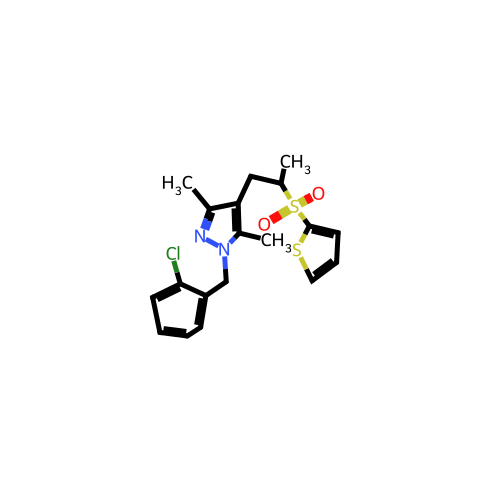 Cc1nn(Cc2ccccc2Cl)c(C)c1CC(C)S(=O)(=O)c1cccs1